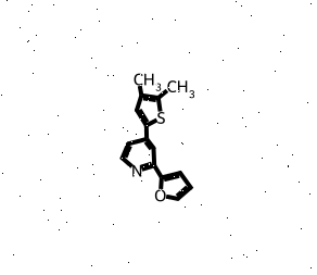 Cc1cc(-c2ccnc(-c3ccco3)c2)sc1C